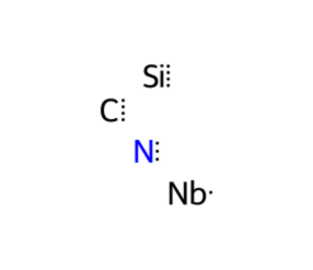 [C].[N].[Nb].[Si]